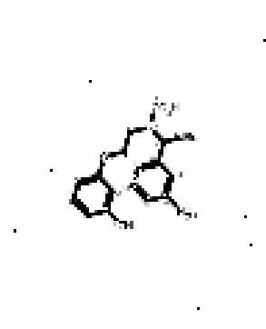 Cc1cccc(OCCN(C(=O)O)C(c2cccc([N+](=O)[O-])c2)C(C)(C)C)c1